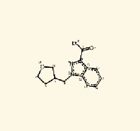 CCC(=O)c1nn(CC2CCOC2)c2ccccc12